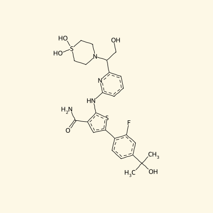 CC(C)(O)c1ccc(-c2cc(C(N)=O)c(Nc3cccc(C(CO)N4CCS(O)(O)CC4)n3)s2)c(F)c1